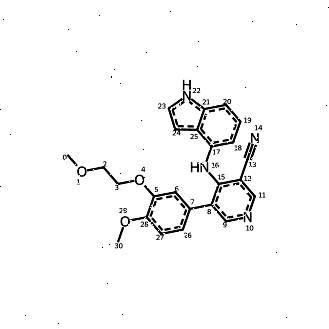 COCCOc1cc(-c2cncc(C#N)c2Nc2cccc3[nH]ccc23)ccc1OC